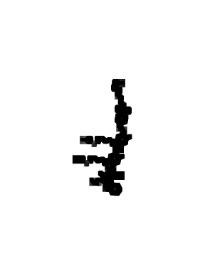 Cc1cc(N=Nc2cc(OCCCS(=O)(=O)O)c(N=Nc3c(C)c(C#N)c4nc5ccccc5n4c3O)cc2C)c(OCCCS(=O)(=O)O)cc1N=Nc1ccc(S(=O)(=O)CCCSOOO)cc1